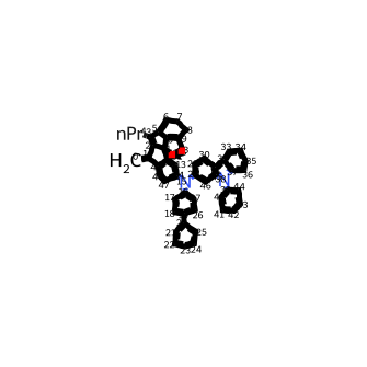 C=C1C2=C(CCC)C3=CCCC4=C3C2(c2cc(N(c3ccc(-c5ccccc5)cc3)c3ccc5c6ccccc6n(-c6ccccc6)c5c3)ccc21)c1ccccc14